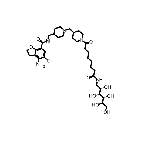 Nc1c(Cl)cc(C(=O)NCC2CCN(CC3CCN(C(=O)CCCCCCC(=O)NC[C@H](O)[C@@H](O)[C@H](O)[C@H](O)CO)CC3)CC2)c2c1CCO2